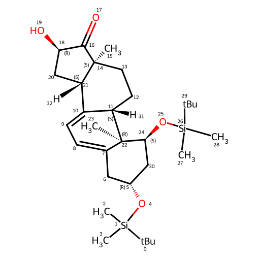 CC(C)(C)[Si](C)(C)O[C@@H]1CC2=CC=C3[C@H](CC[C@]4(C)C(=O)[C@H](O)C[C@@H]34)[C@@]2(C)[C@@H](O[Si](C)(C)C(C)(C)C)C1